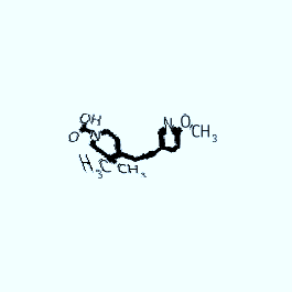 COc1ccc(C#C/C=C2\CCN(C(=O)O)CC2(C)C)cn1